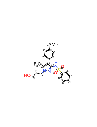 CSc1ccc(-c2c(NS(=O)(=O)c3ccccc3)nn(CCCO)c2C(F)(F)F)cc1